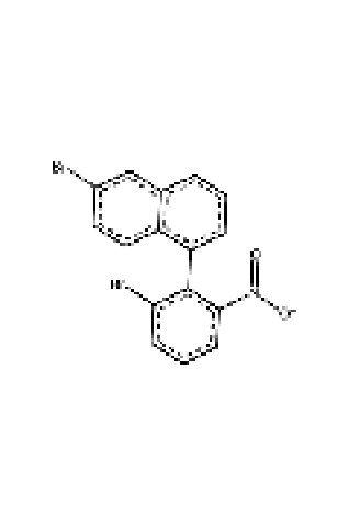 O=[N+]([O-])c1cccc(Br)c1-c1cccc2cc(Br)ccc12